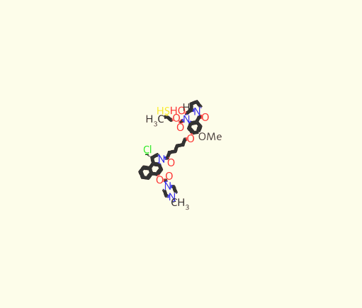 COc1cc2c(cc1OCCCCCC(=O)N1C[C@@H](CCl)c3c1cc(OC(=O)N1CCN(C)CC1)c1ccccc31)N(C(=O)OCC(C)S)C(O)[C@@H]1CCCN1C2=O